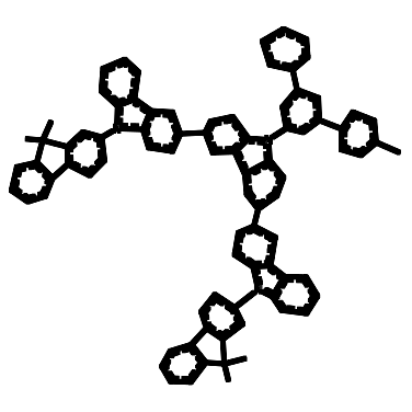 Cc1ccc(-c2cc(-c3ccccc3)cc(-n3c4ccc(-c5ccc6c(c5)c5ccccc5n6-c5ccc6c(c5)C(C)(C)c5ccccc5-6)cc4c4cc(-c5ccc6c(c5)c5ccccc5n6-c5ccc6c(c5)C(C)(C)c5ccccc5-6)ccc43)c2)cc1